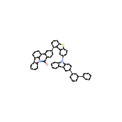 O=c1c2ccc(-c3cccc4sc5ccc(-n6c7ccccc7c7cc(-c8cccc(-c9ccccc9)c8)ccc76)cc5c34)cc2c2cccc3c4ccccc4n1c23